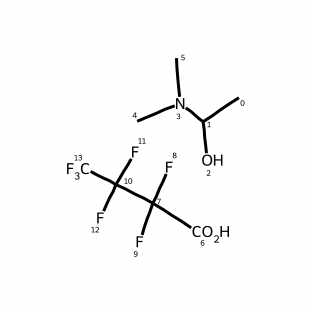 CC(O)N(C)C.O=C(O)C(F)(F)C(F)(F)C(F)(F)F